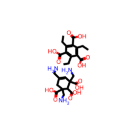 CCc1c(C(=O)O)c(CC)c(C(=O)O)c(CC)c1C(=O)O.NCC1=CC(CN)(C(=O)O)C(C(=O)O)C(CN)(C(=O)O)C1